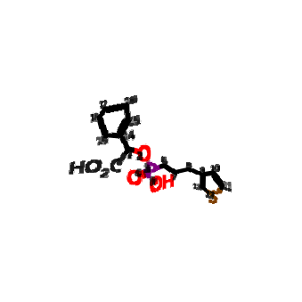 O=C(O)C(OP(=O)(O)CCCc1ccsc1)c1ccccc1